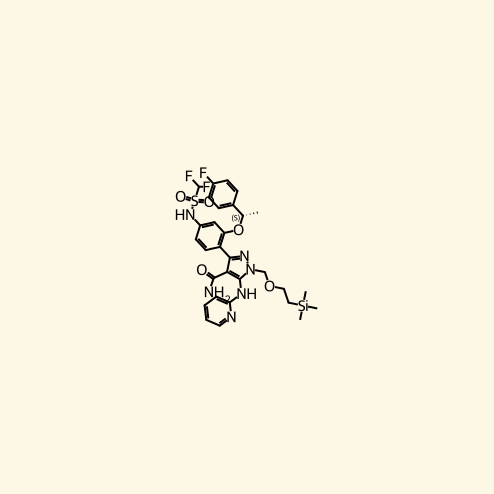 C[C@H](Oc1cc(NS(=O)(=O)C(F)F)ccc1-c1nn(COCC[Si](C)(C)C)c(Nc2ccccn2)c1C(N)=O)c1ccc(F)cc1